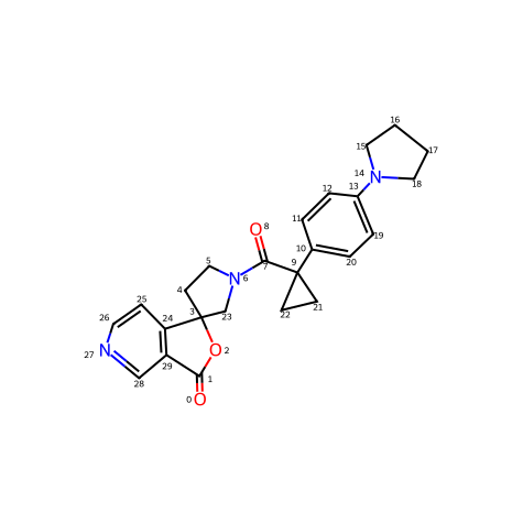 O=C1OC2(CCN(C(=O)C3(c4ccc(N5CCCC5)cc4)CC3)C2)c2ccncc21